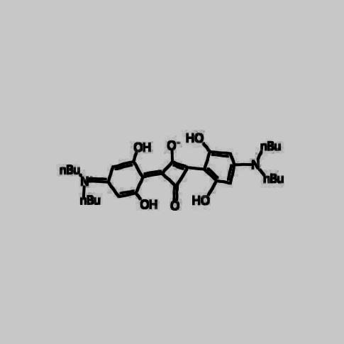 CCCCN(CCCC)c1cc(O)c(C2=C([O-])C(=C3C(O)=CC(=[N+](CCCC)CCCC)C=C3O)C2=O)c(O)c1